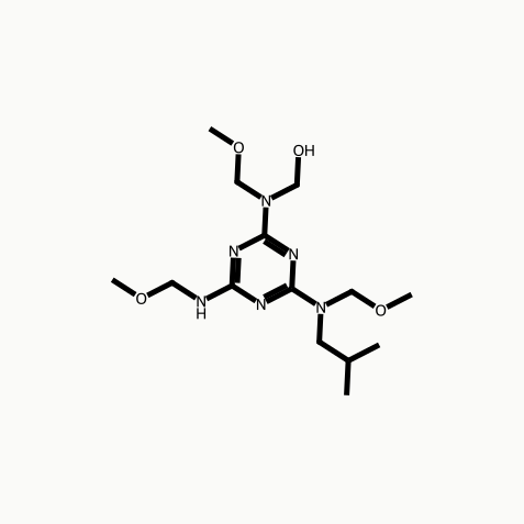 COCNc1nc(N(CO)COC)nc(N(COC)CC(C)C)n1